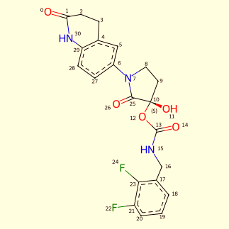 O=C1CCc2cc(N3CC[C@](O)(OC(=O)NCc4cccc(F)c4F)C3=O)ccc2N1